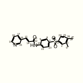 Cc1cc(S(=O)(=O)c2ccc(NC(=O)/C=C/c3cccnc3)cc2)ccc1F